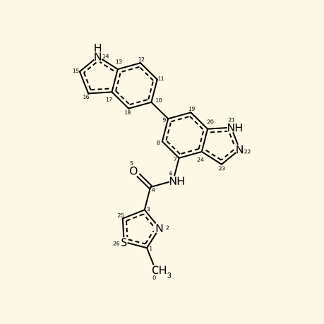 Cc1nc(C(=O)Nc2cc(-c3ccc4[nH]ccc4c3)cc3[nH]ncc23)cs1